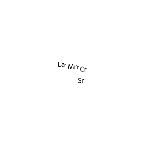 [Cr].[La].[Mn].[Sr]